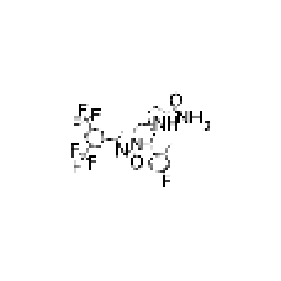 Cc1cc(F)ccc1[C@H]1C[C@]2(CC[C@H](C(N)=O)N2)CCN1C(=O)N(C)[C@H](C)c1cc(C(F)(F)F)cc(C(F)(F)F)c1